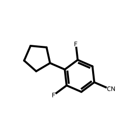 N#Cc1cc(F)c([C]2CCCC2)c(F)c1